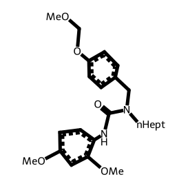 CCCCCCCN(Cc1ccc(OCOC)cc1)C(=O)Nc1ccc(OC)cc1OC